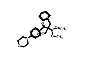 CCC(Cc1ccccc1)(C(=O)c1ccc(N2CCOCC2)cc1)N(OC)OC